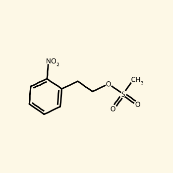 CS(=O)(=O)OCCc1ccccc1[N+](=O)[O-]